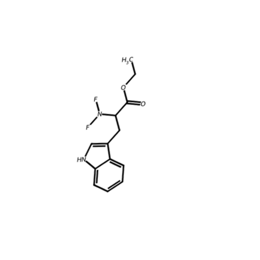 CCOC(=O)C(Cc1c[nH]c2ccccc12)N(F)F